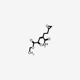 C=C(C=C(CCC1CO1)C(=O)O)C(=O)OCC